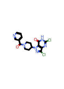 O=C(c1cccnc1)N1CCC(n2nc(Cl)c3nc(Cl)[nH]c(=O)c32)CC1